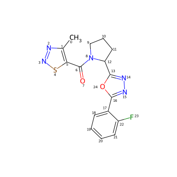 Cc1nnsc1C(=O)N1CCCC1c1nnc(-c2ccccc2F)o1